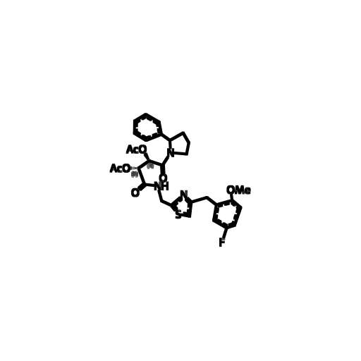 COc1ccc(F)cc1Cc1csc(CNC(=O)[C@H](OC(C)=O)[C@@H](OC(C)=O)C(=O)N2CCCC2c2ccccc2)n1